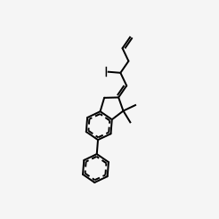 C=CCC(I)/C=C1\Cc2ccc(-c3ccccc3)cc2C1(C)C